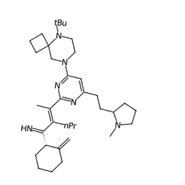 C=C1CCCC[C@@H]1C(=N)/C(CCC)=C(\C)c1nc(CCC2CCCN2C)cc(N2CCN(C(C)(C)C)C3(CCC3)C2)n1